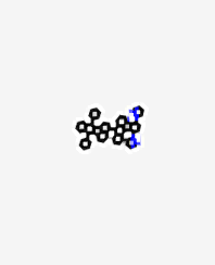 c1ccc(-c2c3c(c(-c4ccccc4)c4ccccc24)-c2ccc(-c4c5ccccc5c5c6c(cccc46)-c4c(-c6ccccn6)ccc(-c6ccccn6)c4-5)c4cccc-3c24)cc1